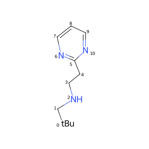 CC(C)(C)CNCCc1ncccn1